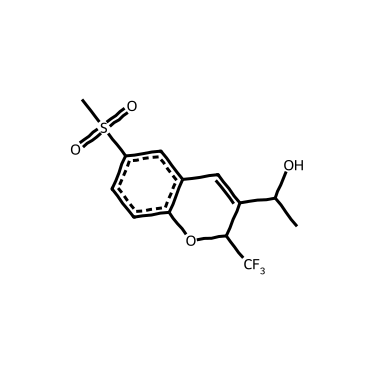 CC(O)C1=Cc2cc(S(C)(=O)=O)ccc2OC1C(F)(F)F